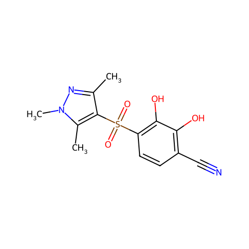 Cc1nn(C)c(C)c1S(=O)(=O)c1ccc(C#N)c(O)c1O